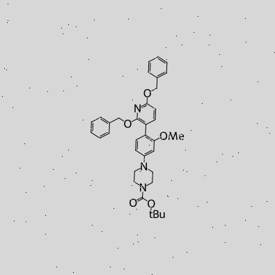 COc1cc(N2CCN(C(=O)OC(C)(C)C)CC2)ccc1-c1ccc(OCc2ccccc2)nc1OCc1ccccc1